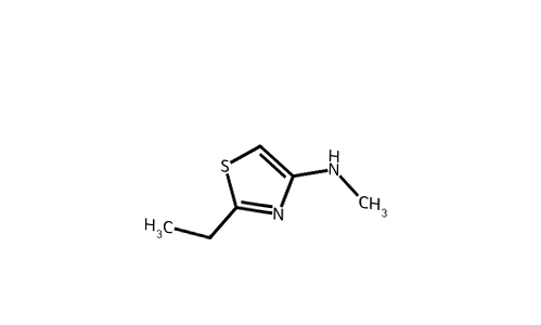 CCc1nc(NC)cs1